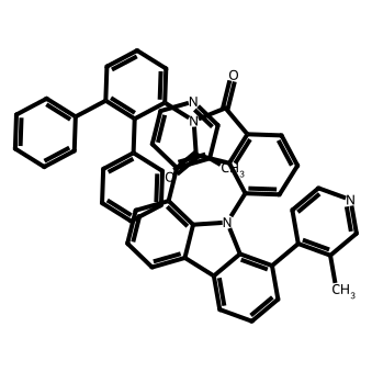 Cc1cnccc1-c1cccc2c3cccc(-c4ccncc4C)c3n(-c3cccc4c3C(=O)N(c3cccc(-c5ccccc5)c3-c3ccccc3)C4=O)c12